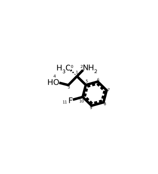 C[C@@](N)(CO)c1ccccc1F